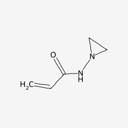 C=CC(=O)NN1CC1